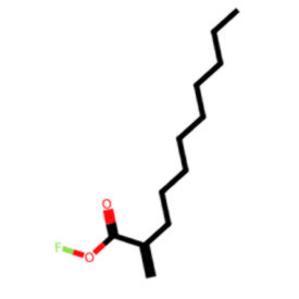 C=C(CCCCCCCCC)C(=O)OF